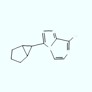 Nc1nccn2c(C3C4CCCC43)nnc12